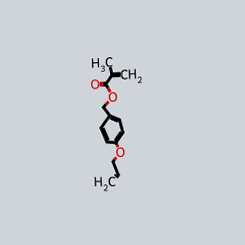 C=CCOc1ccc(COC(=O)C(=C)C)cc1